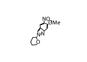 COc1cc2nn(C3CCCCO3)cc2cc1[N+](=O)[O-]